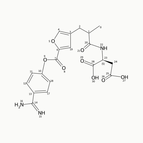 CC(Cc1coc(C(=O)Oc2ccc(C(=N)N)cc2)c1)C(=O)N[C@@H](CC(=O)O)C(=O)O